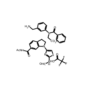 CC(=O)NC(=O)c1ccc2c(c1)N(c1csc(NC=O)n1)CC2.NCc1cccc(N(CC(=O)O)C(=O)c2ccccc2)c1.O=C(O)C(F)(F)F